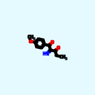 C[CH]C(=O)C(=N)C(=O)c1ccc(OC)cc1